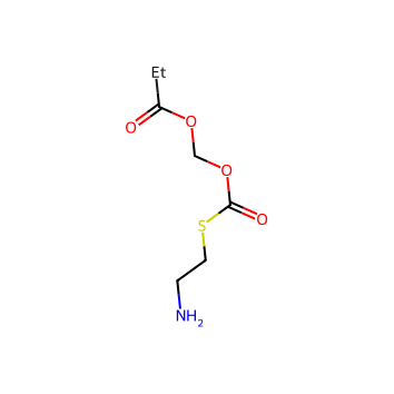 CCC(=O)OCOC(=O)SCCN